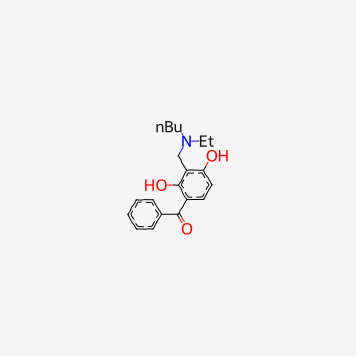 CCCCN(CC)Cc1c(O)ccc(C(=O)c2ccccc2)c1O